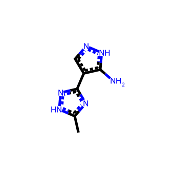 Cc1nc(-c2cn[nH]c2N)n[nH]1